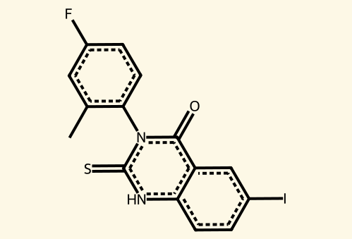 Cc1cc(F)ccc1-n1c(=S)[nH]c2ccc(I)cc2c1=O